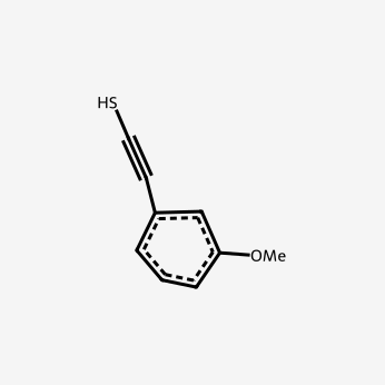 COc1cccc(C#CS)c1